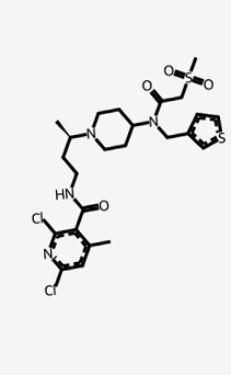 Cc1cc(Cl)nc(Cl)c1C(=O)NCC[C@@H](C)N1CCC(N(Cc2ccsc2)C(=O)CS(C)(=O)=O)CC1